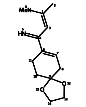 CN/C(C)=C\C(=N)C1=CCC2(CC1)OCCO2